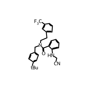 CC(C)(C)c1ccc(CN(CCc2cccc(C(F)(F)F)c2)C(=O)c2ccccc2NCC#N)cc1